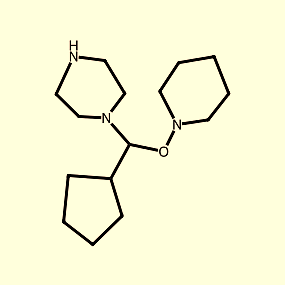 C1CCN(OC(C2CCCC2)N2CCNCC2)CC1